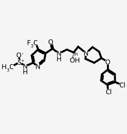 C[S+]([O-])Nc1cc(C(F)(F)F)c(C(=O)NC[C@@H](O)CN2CCC(Oc3ccc(Cl)c(Cl)c3)CC2)cn1